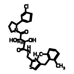 Cc1cccc(C)c1Cc1csc(CNC(=O)[C@H](O)[C@@H](O)C(=O)N2CCCC2c2cccc(Cl)c2)n1